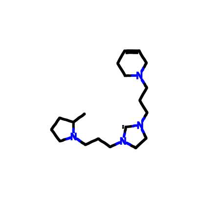 CC1CCCN1CCCN1[C]N(CCCN2CC=CCC2)CC1